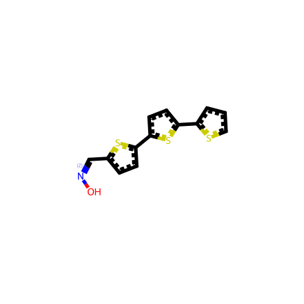 O/N=C\c1ccc(-c2ccc(-c3cccs3)s2)s1